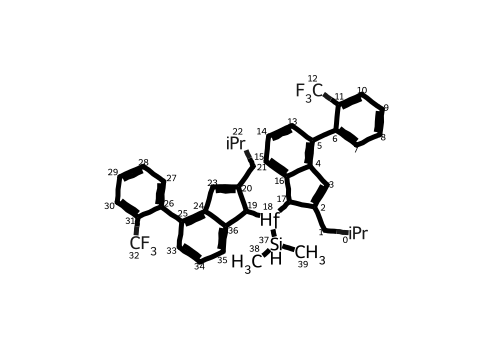 CC(C)CC1=Cc2c(-c3ccccc3C(F)(F)F)cccc2[CH]1[Hf]([CH]1C(CC(C)C)=Cc2c(-c3ccccc3C(F)(F)F)cccc21)[SiH](C)C